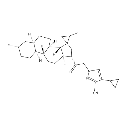 CC1CC12C[C@H](C(=O)Cn1cc(C3CC3)c(C#N)n1)[C@@]1(C)CC[C@H]3[C@@H](CC[C@@H]4C[C@@H](C)CC[C@@H]43)[C@H]21